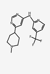 CN1CCC(c2cc(Nc3cc(C(F)(F)F)ccn3)ncn2)CC1